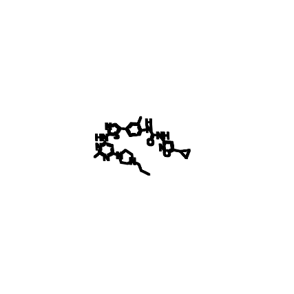 CCCN1CCN(c2cc(Nc3ncc(-c4ccc(NC(=O)Nc5cc(C6CC6)on5)c(C)c4)s3)nc(C)n2)CC1